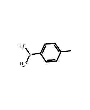 Cc1ccc(N(P)P)cc1